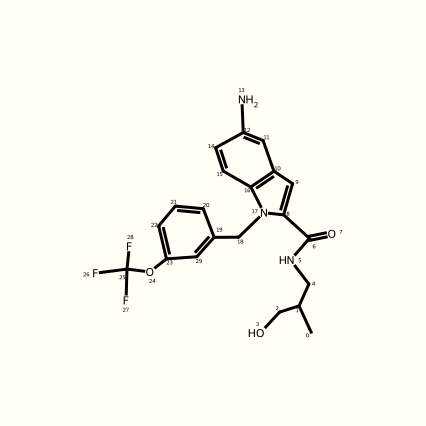 CC(CO)CNC(=O)c1cc2cc(N)ccc2n1Cc1cccc(OC(F)(F)F)c1